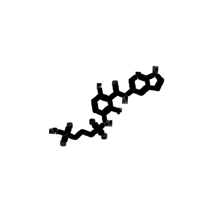 CCCS(=O)(=O)CCCS(=O)(=O)Nc1ccc(F)c(C(=O)Nc2cnc3[nH]ccc3c2)c1F